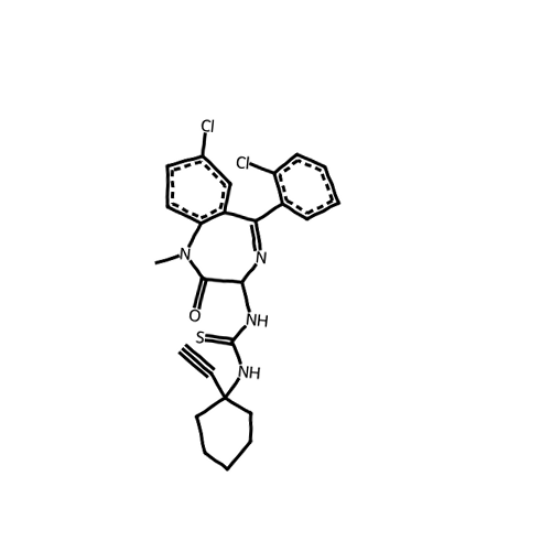 C#CC1(NC(=S)NC2N=C(c3ccccc3Cl)c3cc(Cl)ccc3N(C)C2=O)CCCCC1